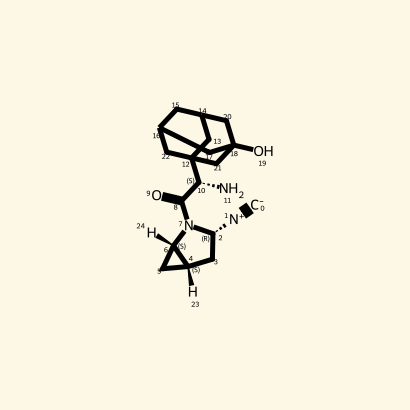 [C-]#[N+][C@@H]1C[C@@H]2C[C@@H]2N1C(=O)[C@@H](N)C12CC3CC(CC(O)(C3)C1)C2